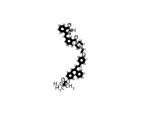 CC(C)(C)C(=O)Oc1ccc(C=C(CCc2ccc(OCCN3CCN(C(=O)c4cc(Cc5n[nH]c(=O)c6ccccc56)ccc4F)CC3)cc2)c2ccccc2)cc1